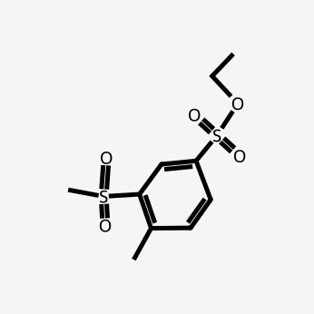 CCOS(=O)(=O)c1ccc(C)c(S(C)(=O)=O)c1